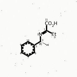 CCC(=N[C@H](C)c1ccccc1)C(=O)O